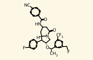 C[C@@H](O[C@H]1CN2C(=O)CC(NC(=O)c3ccc(C#N)cc3)C[C@H]2C1c1ccc(F)cc1)c1cc(CF)cc(C(F)(F)F)c1